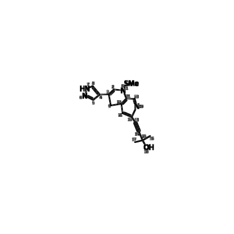 CSN1C=C(c2cn[nH]c2)Cc2cc(C#CC(C)(C)O)ncc21